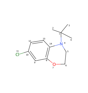 CC(C)(C)N1CCOc2cc(Cl)ccc21